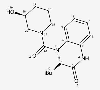 CC[C@H](C)[C@H]1C(=O)Nc2ccccc2N1C(=O)N1CCC[C@H](O)C1